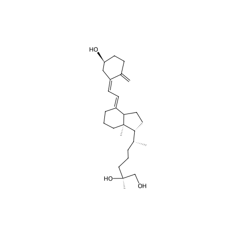 C=C1CC[C@H](O)C/C1=C/C=C1CCC[C@@]2(C)C1CC[C@@H]2[C@H](C)CCC[C@](C)(O)CO